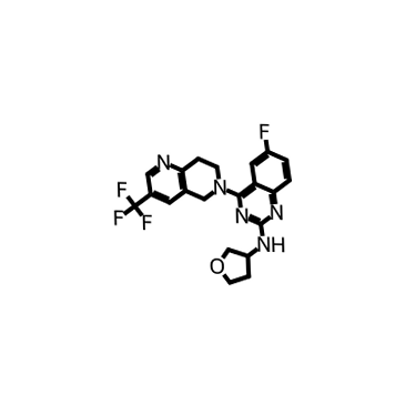 Fc1ccc2nc(NC3CCOC3)nc(N3CCc4ncc(C(F)(F)F)cc4C3)c2c1